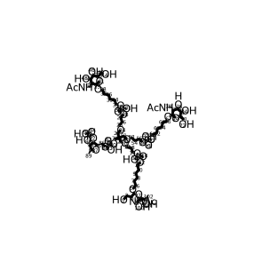 CC(=O)N[C@@H](CO)[C@H](OCCCCCCOP(=O)(O)OCCCOCC(COCCCOP(=O)(O)OCCCCCCO[C@@H]1OC(CO)[C@H](O)C(O)[C@@H]1NC(C)=O)(COCCCOP(=O)(O)OCCCCCCO[C@@H]1OC(CO)[C@H](O)C(O)[C@@H]1NC(C)=O)COP(=O)(O)OC[C@H]1O[C@@H](C)CC1OP(=O)(O)O)OC(CO)[C@@H](C)O